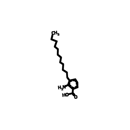 CCCCCCCCCCCCc1cccc(C(=O)O)c1N